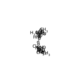 COC(=O)N[C@H](C(=O)N1[C@H](C)[C@H](C)C[C@H]1c1nc(Cl)c(-c2ccc3cc(-c4ccc5nc([C@@H]6C[C@@H](C)[C@@H](C)N6C(=O)[C@@H](NC(=O)OC)C6CCOCC6)[nH]c5c4)ccc3c2)[nH]1)C1CCOCC1